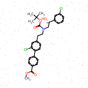 COC(=O)c1ccc(-c2ccc(CCN(C[C@H](O)c3cccc(Cl)c3)C(=O)OC(C)(C)C)cc2Cl)cc1